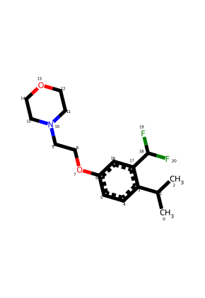 CC(C)c1ccc(OCCN2CCOCC2)cc1C(F)F